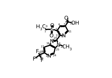 CCS(=O)(=O)c1cc(C(=O)O)cnc1-c1nc2cc(C(F)(F)F)ncc2n1C